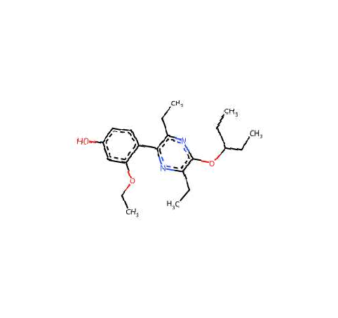 CCOc1cc(O)ccc1-c1nc(CC)c(OC(CC)CC)nc1CC